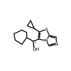 O[C@H](c1c(C2CC2)sc2cncn12)C1CCCCC1